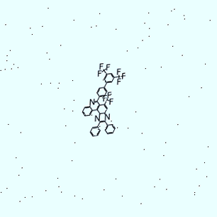 FC(F)(F)c1cc(-c2ccc(-c3nc4ccccc4c4c3c(C(F)(F)F)cc3nc(-c5ccccc5)c(-c5ccccc5)nc34)cc2)cc(C(F)(F)F)c1